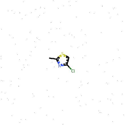 Cc1nc(Cl)cs1